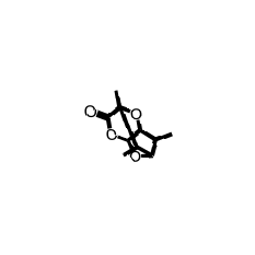 CC1C2OC3(C)C(=O)OC2OC1C3C